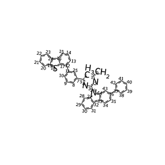 C=C/N=C(\N=C(/C)c1cccc(-c2cccc3c2sc2ccccc23)c1)n1c2ccccc2c2ccc(-c3ccccc3)cc21